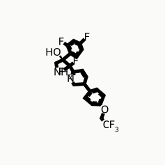 NC[C@](O)(c1ccc(F)cc1F)C(F)(F)C1=NCC(c2ccc(OCC(F)(F)F)cc2)C=C1